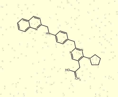 C=C(O)Cc1cnc(Cc2ccc(NCc3ccc4ccccc4n3)cc2)nc1N1CCCC1